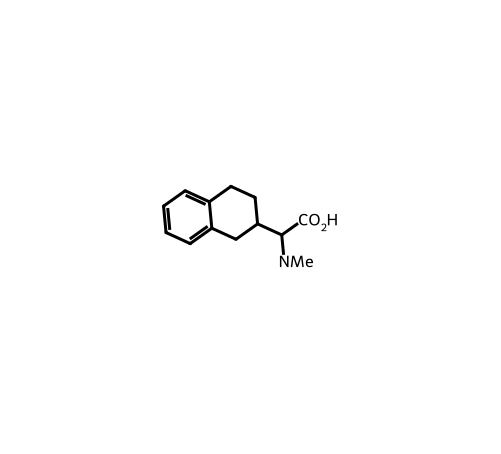 CNC(C(=O)O)C1CCc2ccccc2C1